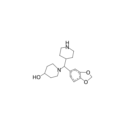 OC1CCN(C(c2ccc3c(c2)OCO3)C2CCNCC2)CC1